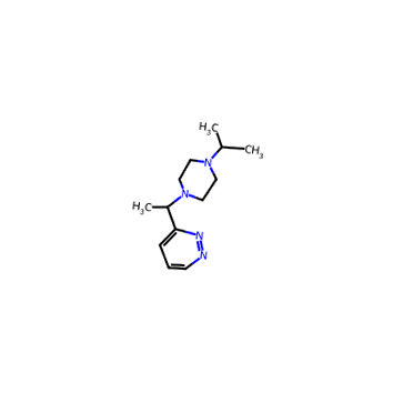 CC(C)N1CCN(C(C)c2cccnn2)CC1